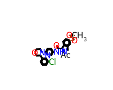 CC(=O)N1Cc2cc(S(C)(=O)=O)ccc2[C@@H]1C(=O)Nc1ccc(N2CCOCC2c2cccc(Cl)c2)nc1